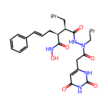 CC(C)C[C@@H](C(=O)NN(CC(C)C)C(=O)Cc1cc(=O)[nH]c(=O)[nH]1)[C@H](CC=Cc1ccccc1)C(=O)NO